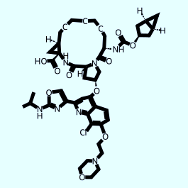 CC(C)Nc1nc(-c2cc(O[C@@H]3C[C@H]4C(=O)N[C@]5(C(=O)O)C[C@H]5CCCCCCC[C@H](NC(=O)O[C@@H]5C[C@@H]6C[C@@H]6C5)C(=O)N4C3)c3ccc(OCCN4CCOCC4)c(Cl)c3n2)co1